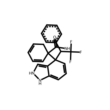 NC(=O)C1(C2(C(c3ccccc3)C(F)(F)F)C=CC=C3NNC=C32)C=CC=CC1